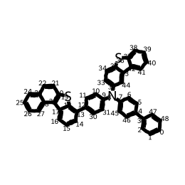 c1ccc(-c2ccc(N(c3ccc(-c4cccc5c4sc4ccc6ccccc6c45)cc3)c3ccc4sc5ccccc5c4c3)cc2)cc1